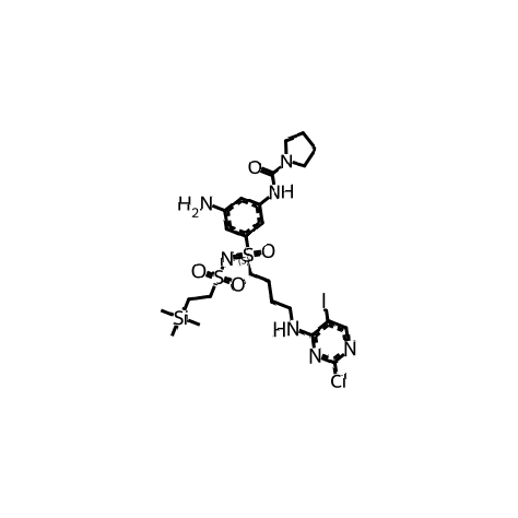 C[Si](C)(C)CCS(=O)(=O)N=[S@](=O)(CCCCNc1nc(Cl)ncc1I)c1cc(N)cc(NC(=O)N2CCCC2)c1